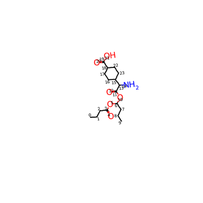 CCCC(=O)OC(CCC)OC(=O)C(N)C1CCC(C(=O)O)CC1